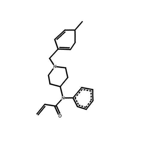 C=CC(=O)N(c1ccccc1)C1CCN(CC2=CCC(C)C=C2)CC1